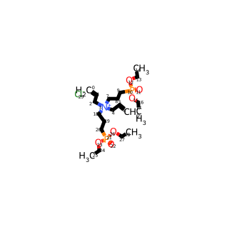 C=CC[N+](CC=C)(CCCP(=O)(OCC)OCC)CCCP(=O)(OCC)OCC.[Cl-]